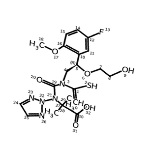 C=C(S)N(C[C@H](OCCO)c1cc(F)ccc1OC)C(=O)N(n1nccn1)C(C)(C)C(=O)O